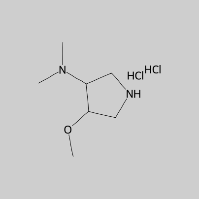 COC1CNCC1N(C)C.Cl.Cl